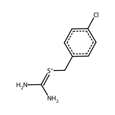 NC(N)=[S+]Cc1ccc(Cl)cc1